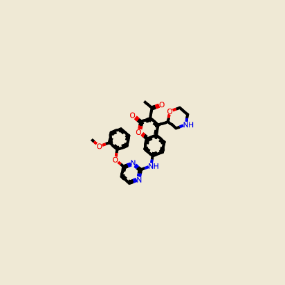 COc1ccccc1Oc1ccnc(Nc2ccc3c(C4CNCCO4)c(C(C)=O)c(=O)oc3c2)n1